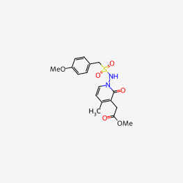 COC(=O)Cc1c(C)ccn(NS(=O)(=O)Cc2ccc(OC)cc2)c1=O